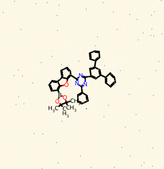 CC1(C)OB(c2cccc3c2oc2c(-c4nc(-c5ccccc5)nc(-c5cc(-c6ccccc6)cc(-c6ccccc6)c5)n4)cccc23)OC1(C)C